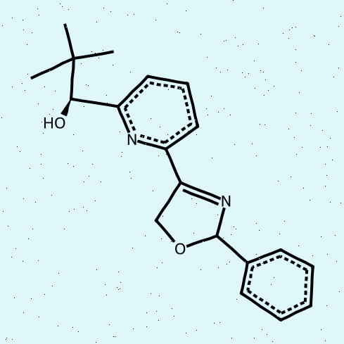 CC(C)(C)[C@H](O)c1cccc(C2=NC(c3ccccc3)OC2)n1